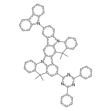 CC1(C)c2ccccc2-n2c3ccc(-n4c5ccccc5c5ccccc54)cc3c3cc4c(c1c32)c1cc(-c2nc(-c3ccccc3)nc(-c3ccccc3)n2)cc2c1n4-c1ccccc1C2(C)C